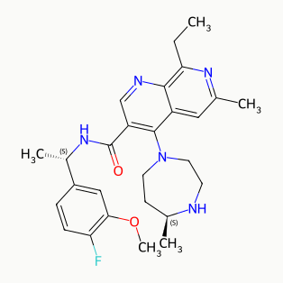 CCc1nc(C)cc2c(N3CCN[C@@H](C)CC3)c(C(=O)N[C@@H](C)c3ccc(F)c(OC)c3)cnc12